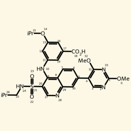 COc1ncc(-c2ccc3c(Nc4cc(OC(C)C)cc(C(=O)O)c4)c(S(=O)(=O)NCC(C)C)cnc3c2)c(OC)n1